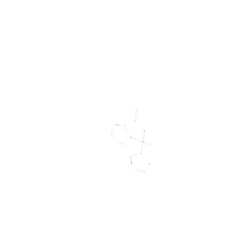 CCCCC(O)(C1CCSC1)C1CCSC1